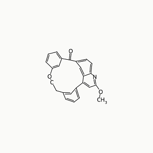 COc1cc2c3cc(ccc3n1)C(=O)c1cccc(c1)OCCc1cccc-2c1